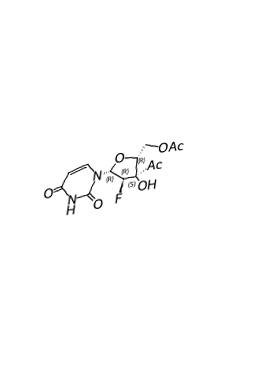 CC(=O)OC[C@H]1O[C@@H](n2ccc(=O)[nH]c2=O)[C@H](F)[C@@]1(O)C(C)=O